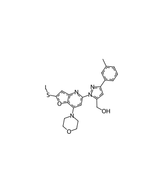 Cc1cccc(-c2cc(CO)n(-c3cc(N4CCOCC4)c4oc(SI)cc4n3)n2)c1